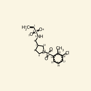 C=CS(=O)(=O)NCC1CCN(S(=O)(=O)c2cccc(Cl)c2C)C1